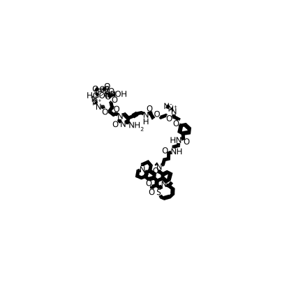 CC1/C=C\C=C/CS/C(c2c(-c3ccccc3C(=O)N(C)CCCC(=O)NCCNC(=O)c3cccc(OCC(N=[N+]=[N-])OCCOCC(=O)NCC#Cc4cn(C5CC(OCN=[N+]=[N-])C(COP(=O)(O)OP(=O)(O)OP(=O)(O)O)O5)c(=O)nc4N)c3)c3cc4c5c(c3oc2=O)CCCN5CCC4)=N\1